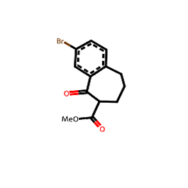 COC(=O)C1CCCc2ccc(Br)cc2C1=O